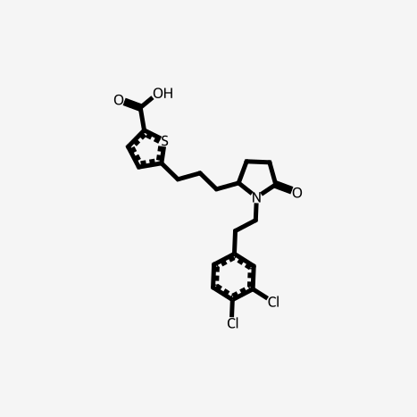 O=C(O)c1ccc(CCCC2CCC(=O)N2CCc2ccc(Cl)c(Cl)c2)s1